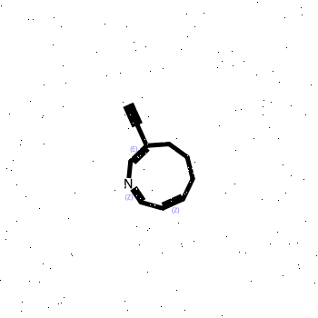 C#C/C1=C/N=C\C=C/CCC1